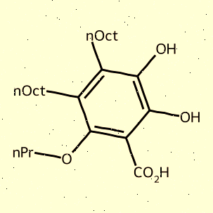 CCCCCCCCc1c(O)c(O)c(C(=O)O)c(OCCC)c1CCCCCCCC